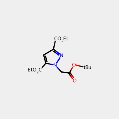 CCOC(=O)c1cc(C(=O)OCC)n(CC(=O)OC(C)(C)C)n1